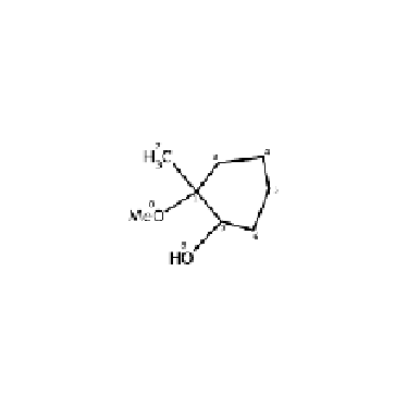 COC1(C)CCCCC1O